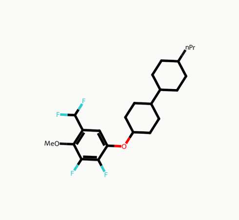 CCCC1CCC(C2CCC(Oc3cc(C(F)F)c(OC)c(F)c3F)CC2)CC1